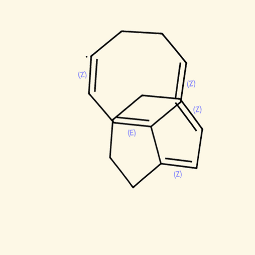 [C]1=C/C=C(/C2=C\C=C/CCCC2)\C=C/CC\1